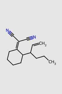 C=CC(CCC)C1CCCCC1=C(C#N)C#N